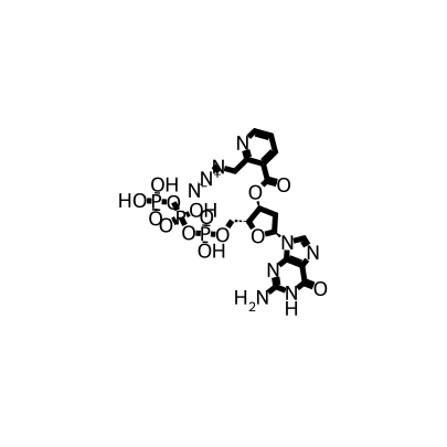 [N-]=[N+]=NCc1ncccc1C(=O)O[C@@H]1C[C@H](n2cnc3c(=O)[nH]c(N)nc32)O[C@@H]1COP(=O)(O)OP(=O)(O)OP(=O)(O)O